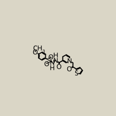 COc1ccc(S(=O)(=O)NNC(=O)C2=CN(CC(=O)c3cccs3)C=CC2)cc1